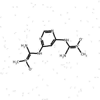 C/[N+]([O-])=C(\N)Nc1cc(N/C(N)=[N+](/C)[O-])ncn1